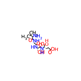 CC(C)[C@H](N)C(=O)NCC(=O)N[C@@H](CO)C(=O)N[C@@H](CCC(=O)O)C(=O)O